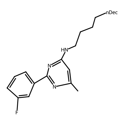 CCCCCCCCCCCCCCNc1cc(C)nc(-c2cccc(F)c2)n1